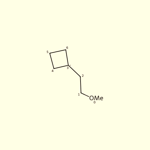 COCC[C]1CCC1